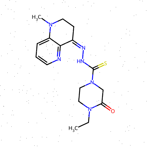 CCN1CCN(C(=S)N/N=C2/CCN(C)c3cccnc32)CC1=O